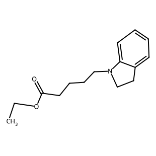 CCOC(=O)CCCCN1CCc2ccccc21